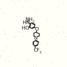 NNc1ccc(OC2CCN(c3ccc(C(F)(F)F)cc3)CC2)cc1O